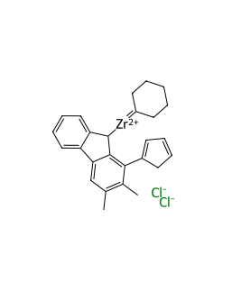 Cc1cc2c(c(C3=CC=CC3)c1C)[CH]([Zr+2]=[C]1CCCCC1)c1ccccc1-2.[Cl-].[Cl-]